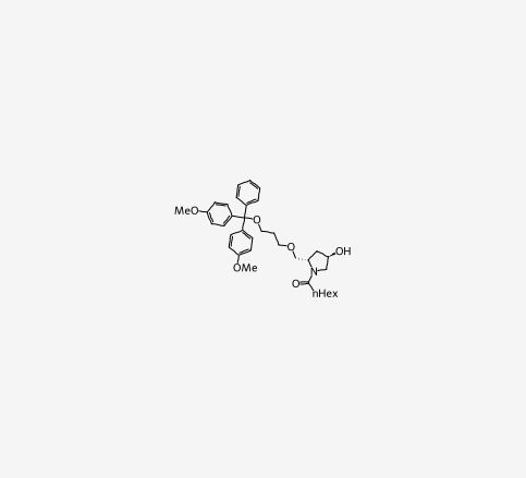 CCCCCCC(=O)N1C[C@H](O)C[C@H]1COCCCOC(c1ccccc1)(c1ccc(OC)cc1)c1ccc(OC)cc1